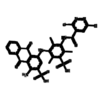 Cc1c(NC(=O)c2cc(Cl)nnc2Cl)c(C)c(S(=O)(=O)O)c(C)c1Nc1cc(S(=O)(=O)O)c(N)c2c1C(=O)c1ccccc1C2=O